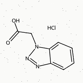 Cl.O=C(O)Cn1nnc2ccccc21